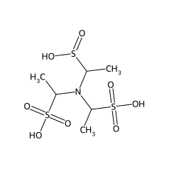 CC(N(C(C)S(=O)(=O)O)C(C)S(=O)(=O)O)S(=O)O